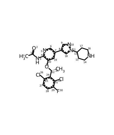 CC(=O)Nc1ncc(-c2cnn(C3CCNCC3)c2)cc1O[C@H](C)c1c(Cl)ccc(F)c1Cl